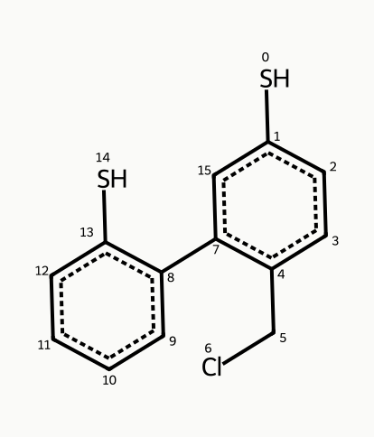 Sc1ccc(CCl)c(-c2ccccc2S)c1